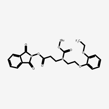 CC(C)(C)OC(=O)N(CCOc1ccccc1OCC(F)(F)F)CCC(=O)ON1C(=O)c2ccccc2C1=O